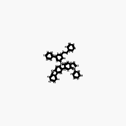 c1ccc(CCc2cc(-c3ccccc3)cc(-n3c4cc5ccn(-c6ccccc6)c5cc4c4cc5c(cc43)sc3ccccc35)c2)cc1